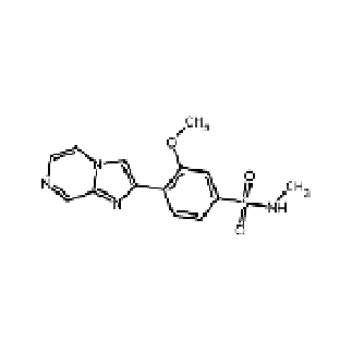 CNS(=O)(=O)c1ccc(-c2cn3ccncc3n2)c(OC)c1